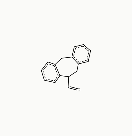 O=CC1Cc2ccccc2Cc2ccccc21